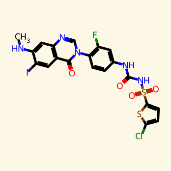 CNc1cc2ncn(-c3ccc(NC(=O)NS(=O)(=O)c4ccc(Cl)s4)cc3F)c(=O)c2cc1I